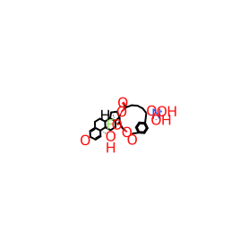 C[C@H]1C[C@H]2C3CCC4=CC(=O)C=C[C@]4(C)[C@@]3(F)[C@@H](O)C[C@]2(C)[C@]12OC(=O)CCCC(ON(O)O)c1ccc(cc1)C(=O)OCC2=O